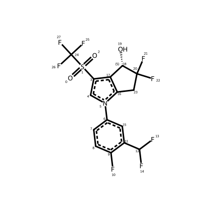 O=S(=O)(c1cn(-c2ccc(F)c(C(F)F)c2)c2c1[C@H](O)C(F)(F)C2)C(F)(F)F